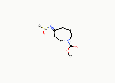 CC(C)(C)OC(=O)N1CCC/C(=N/[S+]([O-])C(C)(C)C)CC1